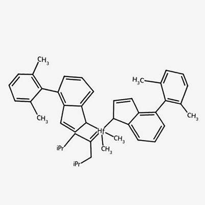 Cc1cccc(C)c1-c1cccc2c1C=C[CH]2[Hf]([CH3])([CH3])(=[C](CC(C)C)CC(C)C)[CH]1C=Cc2c(-c3c(C)cccc3C)cccc21